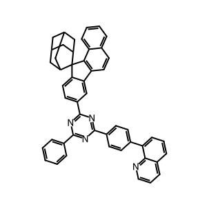 c1ccc(-c2nc(-c3ccc(-c4cccc5cccnc45)cc3)nc(-c3ccc4c(c3)-c3ccc5ccccc5c3C43C4CC5CC(C4)CC3C5)n2)cc1